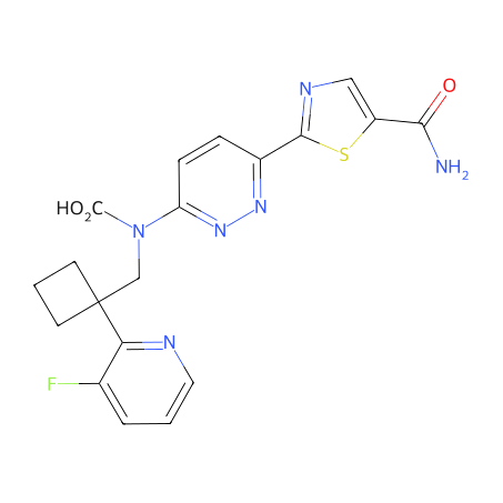 NC(=O)c1cnc(-c2ccc(N(CC3(c4ncccc4F)CCC3)C(=O)O)nn2)s1